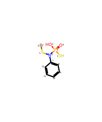 O=P(O)(S)N(SBr)c1ccccc1